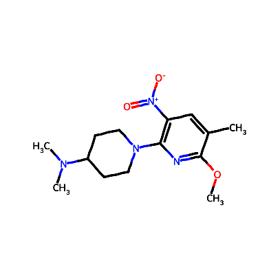 COc1nc(N2CCC(N(C)C)CC2)c([N+](=O)[O-])cc1C